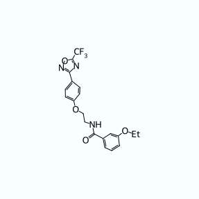 CCOc1cccc(C(=O)NCCOc2ccc(-c3noc(C(F)(F)F)n3)cc2)c1